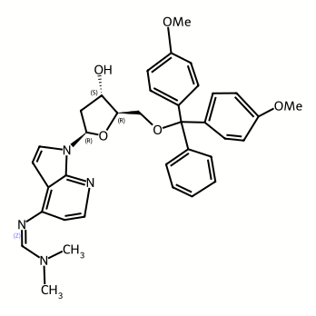 COc1ccc(C(OC[C@H]2O[C@@H](n3ccc4c(/N=C\N(C)C)ccnc43)C[C@@H]2O)(c2ccccc2)c2ccc(OC)cc2)cc1